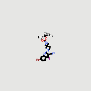 CC(C)(C)OC(=O)N1CC2(CCN(c3nc4cc(Br)ccc4c(I)c3C#N)C2)C1